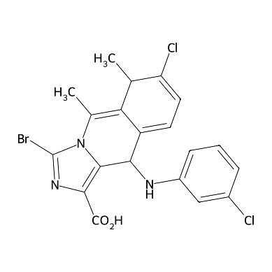 CC1=C2C(=CC=C(Cl)C2C)C(Nc2cccc(Cl)c2)c2c(C(=O)O)nc(Br)n21